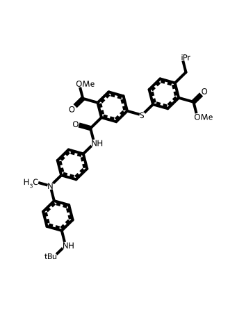 COC(=O)c1cc(Sc2ccc(C(=O)OC)c(C(=O)Nc3ccc(N(C)c4ccc(NC(C)(C)C)cc4)cc3)c2)ccc1CC(C)C